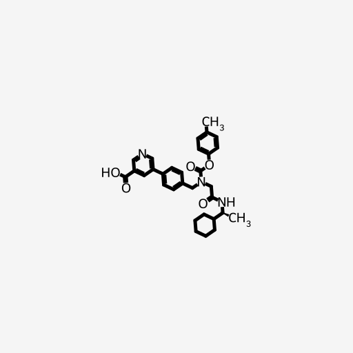 Cc1ccc(OC(=O)N(CC(=O)N[C@@H](C)C2CCCCC2)Cc2ccc(-c3cncc(C(=O)O)c3)cc2)cc1